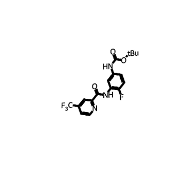 CC(C)(C)OC(=O)Nc1ccc(F)c(NC(=O)c2cc(C(F)(F)F)ccn2)c1